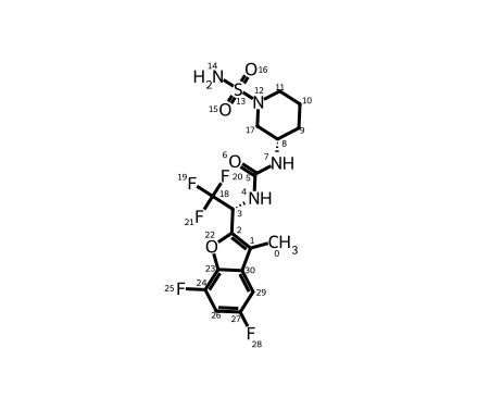 Cc1c([C@@H](NC(=O)N[C@H]2CCCN(S(N)(=O)=O)C2)C(F)(F)F)oc2c(F)cc(F)cc12